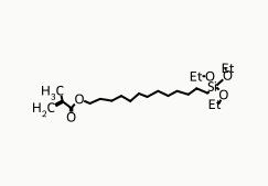 C=C(C)C(=O)OCCCCCCCCCCCCC[Si](OCC)(OCC)OCC